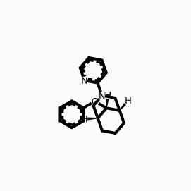 c1ccc(O[C@H]2[C@@H]3CCC[C@H]2CN(c2ccccn2)C3)cc1